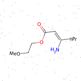 CCCC(N)=CC(=O)OCCOC